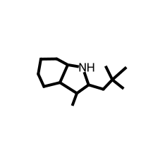 CC1C(CC(C)(C)C)NC2CCCCC21